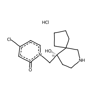 Cl.O=c1cc(Cl)ccn1C[C@]1(O)CCNCC12CCCC2